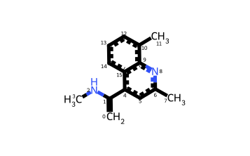 C=C(NC)c1cc(C)nc2c(C)cccc12